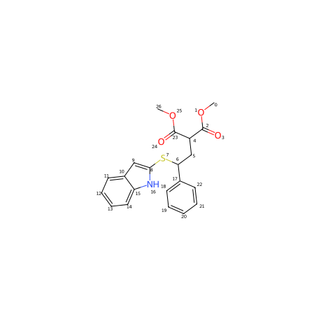 COC(=O)C(CC(Sc1cc2ccccc2[nH]1)c1ccccc1)C(=O)OC